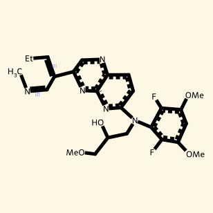 CC/C=C(\C=N/C)c1cnc2ccc(N(CC(O)COC)c3c(F)c(OC)cc(OC)c3F)nc2n1